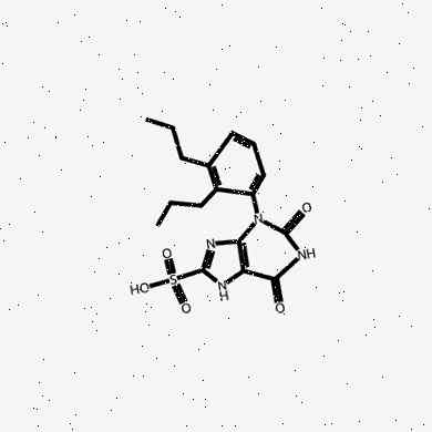 CCCc1cccc(-n2c(=O)[nH]c(=O)c3[nH]c(S(=O)(=O)O)nc32)c1CCC